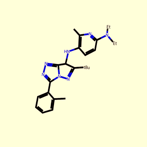 CCN(CC)c1ccc(NC2C(C(C)(C)C)=Nn3c(-c4ccccc4C)nnc32)c(C)n1